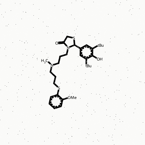 COc1ccccc1SCCCN(C)CCCN1C(=O)CSC1c1cc(C(C)(C)C)c(O)c(C(C)(C)C)c1